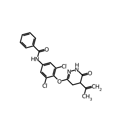 C=C(C)C1CC(Oc2c(Cl)cc(NC(=O)c3ccccc3)cc2Cl)=NNC1=O